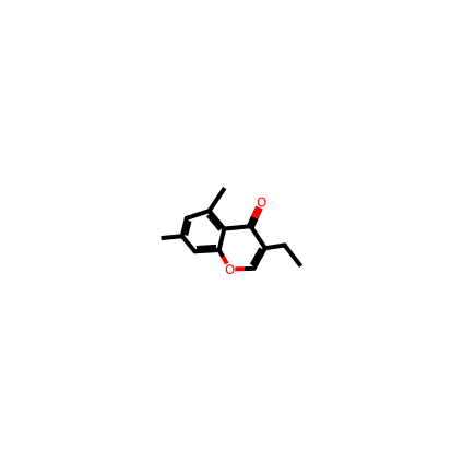 CCc1coc2cc(C)cc(C)c2c1=O